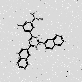 Cc1cc(B(O)O)cc(-c2nc(-c3ccc4ccccc4c3)nc(-c3ccc4ccccc4c3)n2)c1